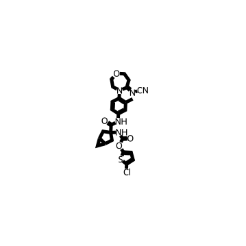 Cc1cc(NC(=O)C2(NC(=O)Oc3ccc(Cl)s3)CC3CC3C2)ccc1N1CCOCCC1=NC#N